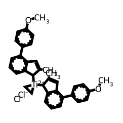 COc1ccc(-c2cccc3c2C=C(C)[CH]3[Ti+2]2([CH]3C(C)=Cc4c(-c5ccc(OC)cc5)cccc43)[CH2][CH2]2)cc1.[Cl-].[Cl-]